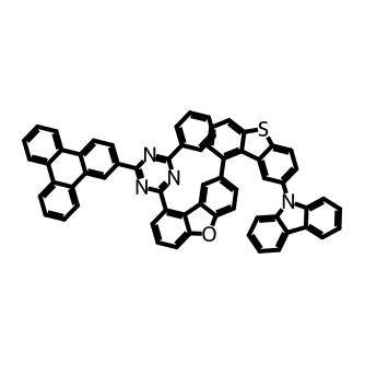 c1ccc(-c2nc(-c3ccc4c5ccccc5c5ccccc5c4c3)nc(-c3cccc4oc5ccc(-c6cccc7sc8ccc(-n9c%10ccccc%10c%10ccccc%109)cc8c67)cc5c34)n2)cc1